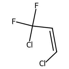 FC(F)(Cl)/C=C\Cl